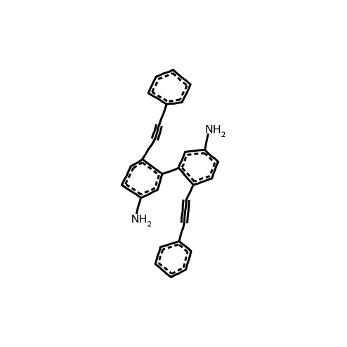 Nc1ccc(C#Cc2ccccc2)c(-c2cc(N)ccc2C#Cc2ccccc2)c1